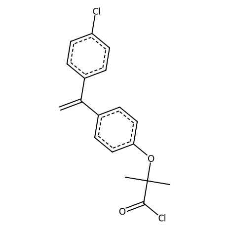 C=C(c1ccc(Cl)cc1)c1ccc(OC(C)(C)C(=O)Cl)cc1